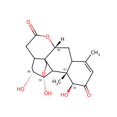 CC1=CC(=O)[C@@H](O)[C@@]2(C)C1C[C@H]1OC(=O)CC3C[C@@H](O)[C@@]4(O)OCC31C24